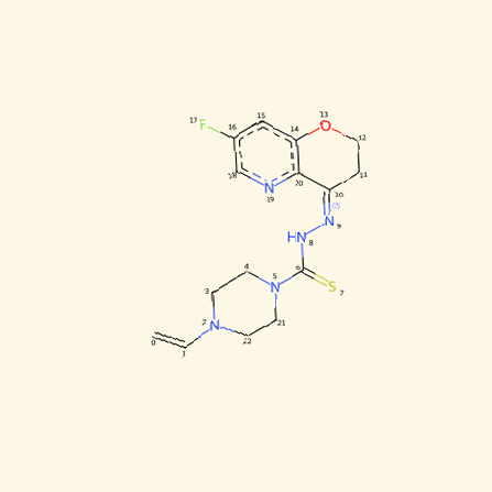 C=CN1CCN(C(=S)N/N=C2/CCOc3cc(F)cnc32)CC1